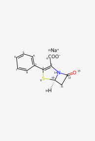 O=C([O-])C1=C(c2ccccc2)S[C@@H]2CC(=O)N12.[Na+]